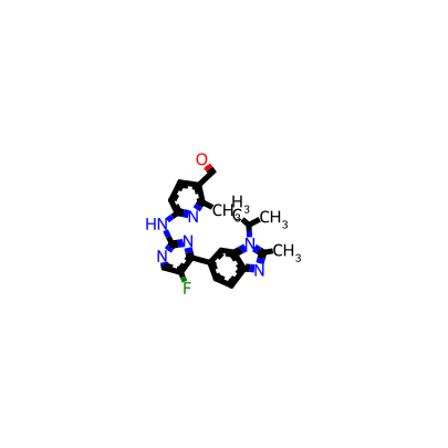 Cc1nc(Nc2ncc(F)c(-c3ccc4nc(C)n(C(C)C)c4c3)n2)ccc1C=O